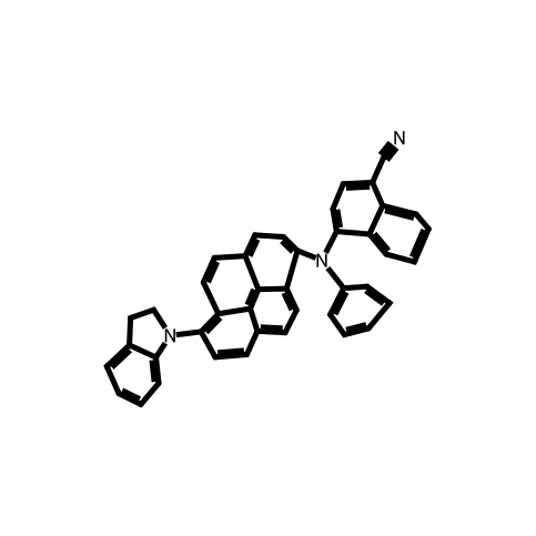 N#Cc1ccc(N(c2ccccc2)c2ccc3ccc4c(N5CCc6ccccc65)ccc5ccc2c3c54)c2ccccc12